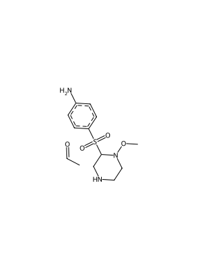 CC=O.CON1CCNCC1S(=O)(=O)c1ccc(N)cc1